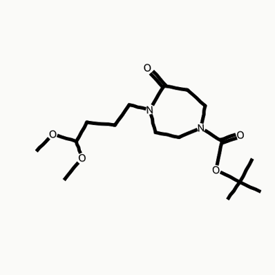 COC(CCCN1CCN(C(=O)OC(C)(C)C)CCC1=O)OC